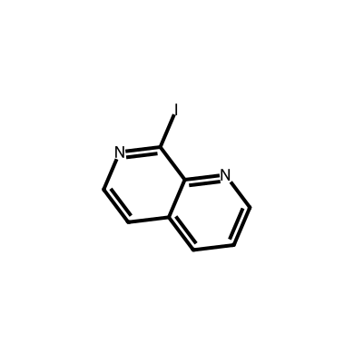 Ic1nccc2cccnc12